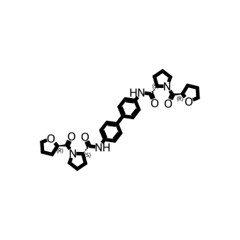 O=C(Nc1ccc(-c2ccc(NC(=O)[C@@H]3CCCN3C(=O)[C@H]3CCCO3)cc2)cc1)[C@@H]1CCCN1C(=O)[C@H]1CCCO1